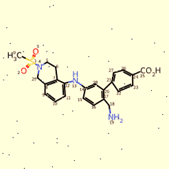 CS(=O)(=O)N1CCc2c(cccc2Nc2ccc(CN)c(-c3ccc(C(=O)O)cc3)c2)C1